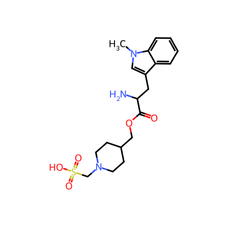 Cn1cc(CC(N)C(=O)OCC2CCN(CS(=O)(=O)O)CC2)c2ccccc21